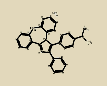 C[C@H](N)c1ccc(-c2c(-c3ccccc3)nc3n2-c2cccnc2Nc2ccccc2-3)cc1.Cl